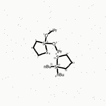 CC(C)O[Si]1(OC(C)C)CCCS1.CCCC[Si]1(CCCC)CCCS1